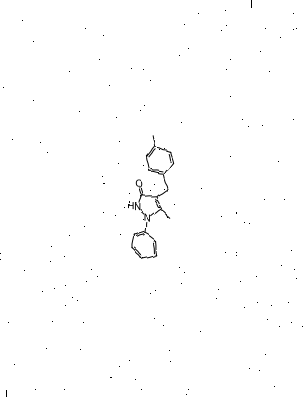 Cc1ccc(Cc2c(C)n(-c3ccccc3)[nH]c2=O)cc1